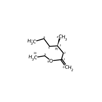 C=C(C[C@H](C)CCC)OCC